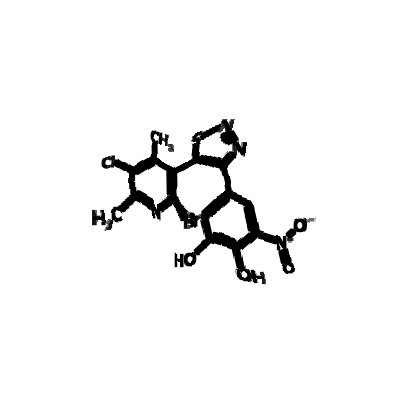 Cc1nc(Br)c(-c2snnc2-c2cc(O)c(O)c([N+](=O)[O-])c2)c(C)c1Cl